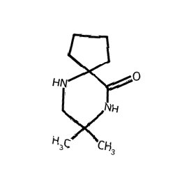 CC1(C)CNC2(CCCC2)C(=O)N1